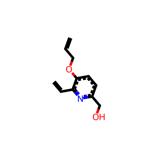 C=CCOc1ccc(CO)nc1C=C